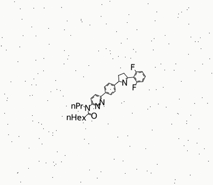 CCCCCCC(=O)N(CCC)c1ccc(-c2ccc(C3CCC(c4c(F)cccc4F)=N3)cc2)nn1